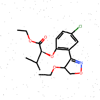 CCOC(=O)[C@@H](Oc1ccc(Cl)cc1C1=NOCC1OCC)C(C)C